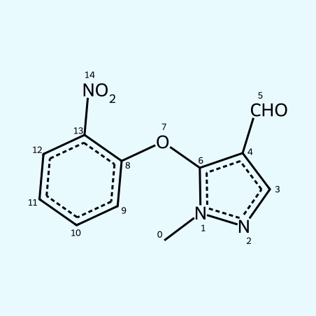 Cn1ncc(C=O)c1Oc1ccccc1[N+](=O)[O-]